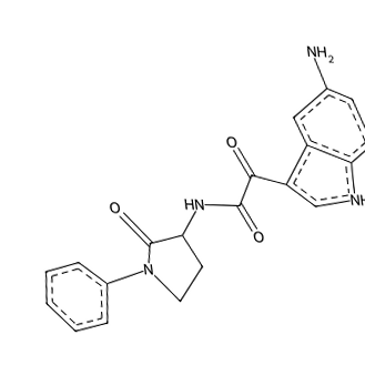 Nc1ccc2[nH]cc(C(=O)C(=O)NC3CCN(c4ccccc4)C3=O)c2c1